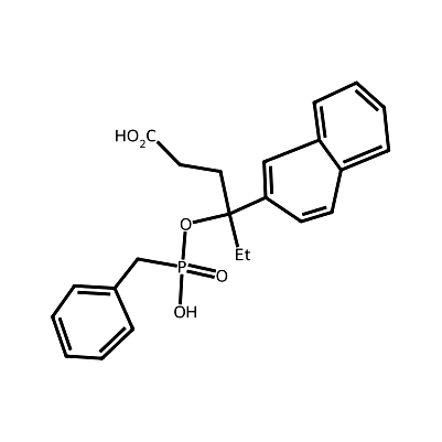 CCC(CCC(=O)O)(OP(=O)(O)Cc1ccccc1)c1ccc2ccccc2c1